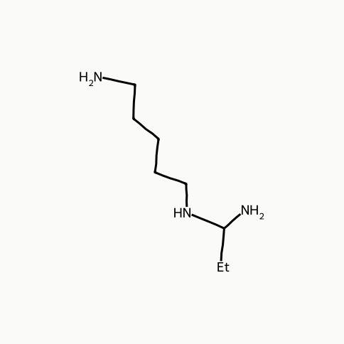 CCC(N)NCCCCCN